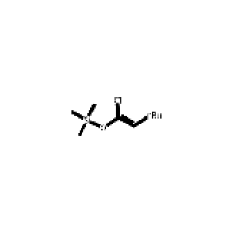 CCCCC=C(Cl)O[Si](C)(C)C